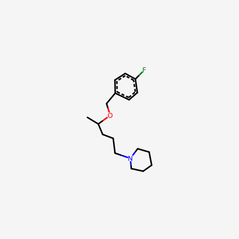 CC(CCCN1CCCCC1)OCc1ccc(F)cc1